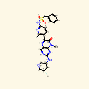 Cc1nc(NS(=O)(=O)Cc2ccccc2)ccc1-c1nc2cnc(N[C@@H]3CNC[C@@H](F)C3)nc2n(C(C)C)c1=O